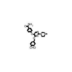 CN1CCN(c2ncc(Oc3ccc(C(N)=O)cc3)c(OCc3ccc(C=O)cc3)n2)CC1